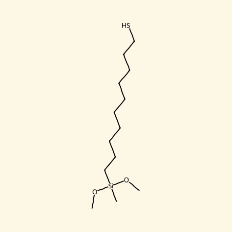 CO[Si](C)(CCCCCCCCCCS)OC